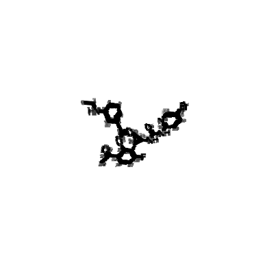 CCNc1cccc(C(=O)Oc2c(C(C)=O)ccc(F)c2[C@H]2C[C@H]2NC(=O)Nc2ccc(Br)cn2)c1